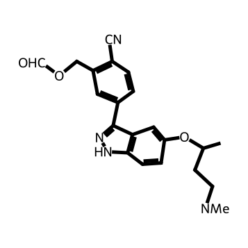 CNCCC(C)Oc1ccc2[nH]nc(-c3ccc(C#N)c(COC=O)c3)c2c1